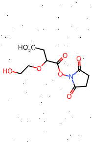 O=C(O)CC(OCCO)C(=O)ON1C(=O)CCC1=O